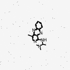 Cc1cnc(NC(C)N(C)C)c2nc3ccccc3nc12